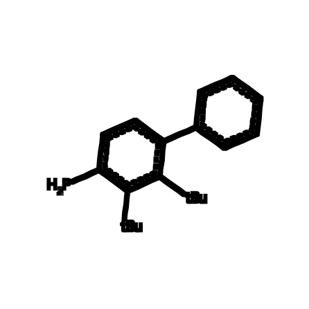 CC(C)(C)c1c(P)ccc(-c2ccccc2)c1C(C)(C)C